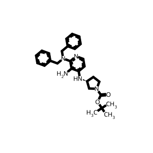 CC(C)(C)OC(=O)N1CC[C@@H](Nc2ccnc(N(Cc3ccccc3)Cc3ccccc3)c2N)C1